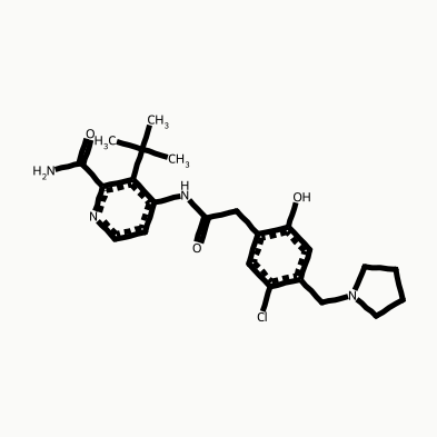 CC(C)(C)c1c(NC(=O)Cc2cc(Cl)c(CN3CCCC3)cc2O)ccnc1C(N)=O